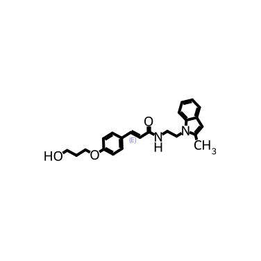 Cc1cc2ccccc2n1CCNC(=O)/C=C/c1ccc(OCCCO)cc1